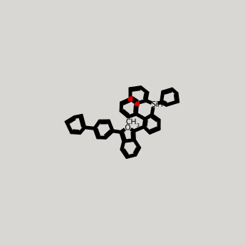 Cc1ccccc1-c1c(-c2oc(-c3ccc(-c4ccccc4)cc3)c3ccccc23)cccc1[SiH](c1ccccc1)c1ccccc1